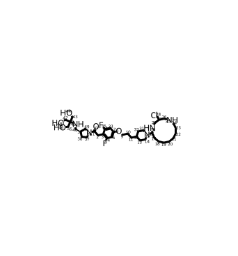 O=C(Cc1c(F)cc(OCCCC2CCN(C3CCCCCCCCNCC(Cl)CN3)CC2)cc1F)N1CC[C@@H](CNC(CO)(CO)CO)C1